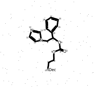 CCCCCCCCCCCCOC(=O)OC(Cn1ccnc1)c1ccccc1